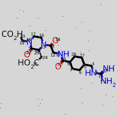 N=C(N)NCC1CCC(C(=O)NCC(=O)N2CCN(CC(=O)O)C(=O)[C@@H]2CC(=O)O)CC1